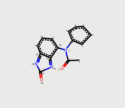 CC(=O)N(c1ccccc1)c1cccc2c1=NC(=O)N=2